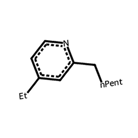 CCCCCCc1cc(CC)ccn1